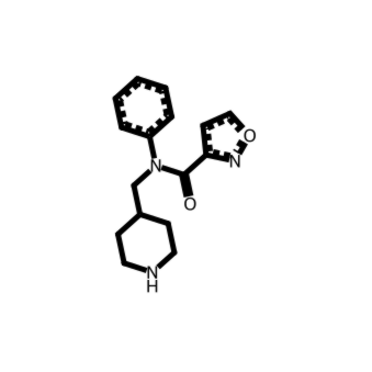 O=C(c1ccon1)N(CC1CCNCC1)c1ccccc1